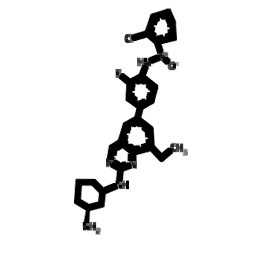 CCc1cc(-c2ccc(N[S+]([O-])c3ccccc3Cl)c(F)c2)cc2cnc(NC3CCC[C@H](N)C3)nc12